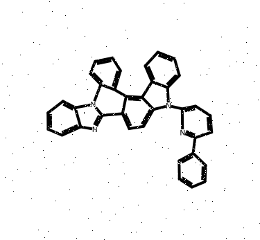 c1ccc(-c2cccc(-n3c4ccccc4c4c5c6ccccc6n6c7ccccc7nc6c5ccc43)n2)cc1